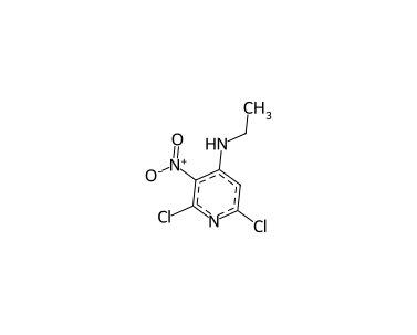 CCNc1cc(Cl)nc(Cl)c1[N+](=O)[O-]